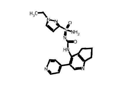 CCn1ccc(S(N)(=O)=NC(=O)Nc2c(-c3ccncc3)cnc3c2CCC3)n1